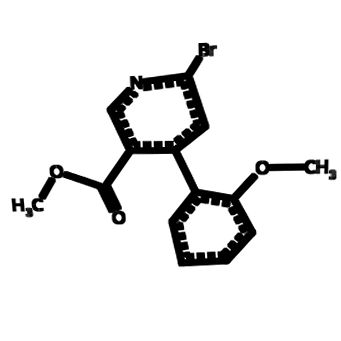 COC(=O)c1cnc(Br)cc1-c1ccccc1OC